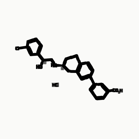 Cl.O=C(O)c1cccc(-c2ccc3c(c2)C[C@@H](NC[C@@H](O)c2cccc(Cl)c2)CC3)c1